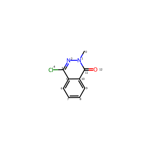 Cn1nc(Cl)c2ccccc2c1=O